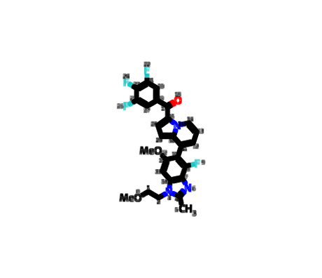 COCCn1c(C)nc2c(F)c(-c3cccn4c(C(=O)c5cc(F)c(F)c(F)c5)ccc34)c(OC)cc21